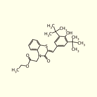 CCOC(=O)CN1C(=O)C(=Cc2cc(C(C)(C)C)c(O)c(C(C)(C)C)c2)Sc2ccccc21